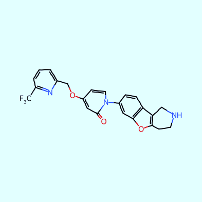 O=c1cc(OCc2cccc(C(F)(F)F)n2)ccn1-c1ccc2c3c(oc2c1)CCNC3